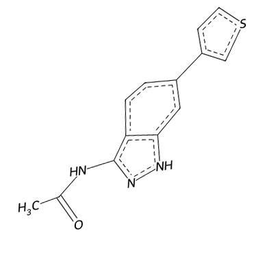 CC(=O)Nc1n[nH]c2cc(-c3ccsc3)ccc12